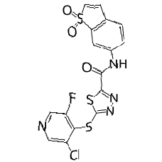 O=C(Nc1ccc2c(c1)S(=O)(=O)C=C2)c1nnc(Sc2c(F)cncc2Cl)s1